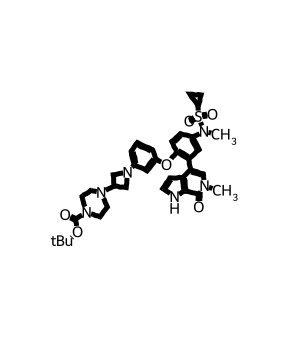 CN(c1ccc(Oc2cccc(N3CC(N4CCN(C(=O)OC(C)(C)C)CC4)C3)c2)c(-c2cn(C)c(=O)c3[nH]ccc23)c1)S(=O)(=O)C1CC1